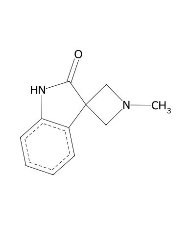 CN1CC2(C1)C(=O)Nc1ccccc12